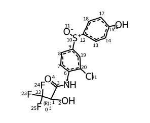 C[C@@](O)(C(=O)Nc1ccc([S+]([O-])c2ccc(O)cc2)cc1Cl)C(F)(F)F